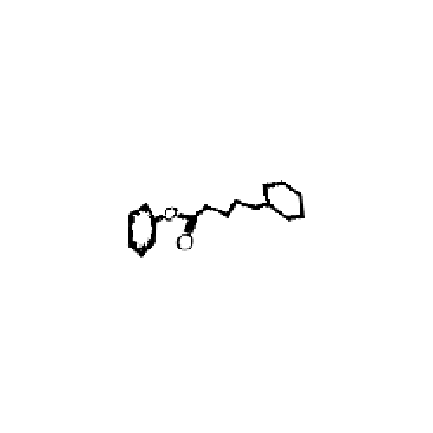 O=C(CCCCC1CCCCC1)Oc1ccccc1